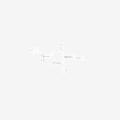 CNC1=CNC(=C=O)C(Cl)=C1